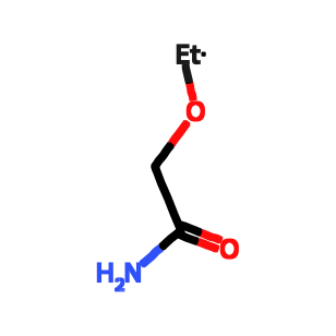 C[CH]OCC(N)=O